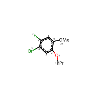 CCCOc1cc(Br)c(F)cc1OC